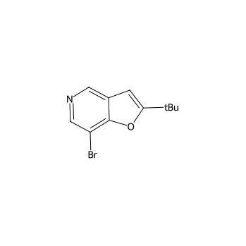 CC(C)(C)c1cc2cncc(Br)c2o1